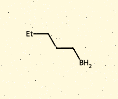 BCCCC[CH2]